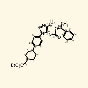 CCOC(=O)CC1CCC(c2ccc(-n3nnc(C)c3NC(=O)OC(C)c3ccccc3)cc2)CC1